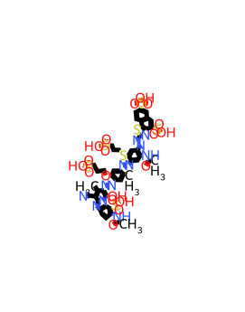 CC(=O)Nc1cc(N=Nc2cc(OCCCS(=O)(=O)O)c(N=Nc3c(C)c(C#N)c4nc5ccc(NC(C)=O)c(S(=O)(=O)O)c5n4c3O)cc2C)c(SCCCS(=O)(=O)O)cc1N=Nc1nc2c(S(=O)(=O)O)cc3cc(S(=O)(=O)O)ccc3c2s1